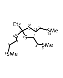 CCC(SCCSC)(SCCSC)SCCSC